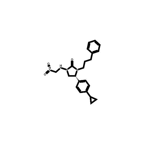 O=C1N(NC[SH](=O)=O)C[C@@H](c2ccc(C3CC3)cc2)N1CCCc1ccccc1